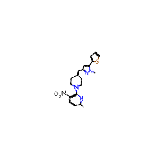 Cc1ccc([N+](=O)[O-])c(N2CCC(=Cc3cc(-c4cccs4)n(C)n3)CC2)n1